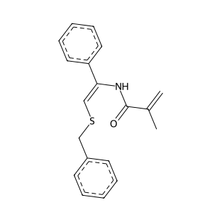 C=C(C)C(=O)NC(=CSCc1ccccc1)c1ccccc1